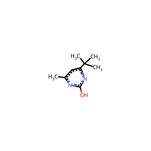 Cc1cc(C(C)(C)C)nc(O)n1